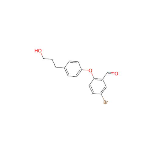 O=Cc1cc(Br)ccc1Oc1ccc(CCCO)cc1